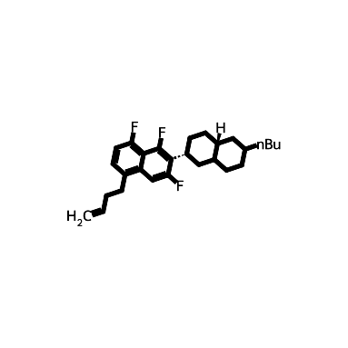 C=CCCc1ccc(F)c2c(F)c([C@@H]3CC[C@@H]4CC(CCCC)CCC4C3)c(F)cc12